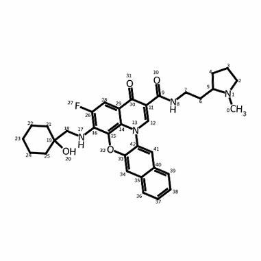 CN1CCCC1CCNC(=O)c1cn2c3c(c(NCC4(O)CCCCC4)c(F)cc3c1=O)Oc1cc3ccccc3cc1-2